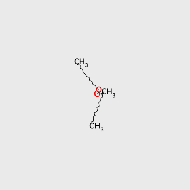 CCCCCCCCCCCCC=C(C)C(=O)OCCCCCCCCCCCCCC